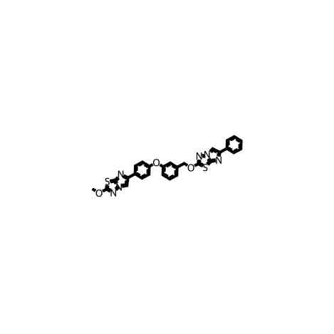 COc1nn2cc(-c3ccc(Oc4cccc(COc5nn6cc(-c7ccccc7)nc6s5)c4)cc3)nc2s1